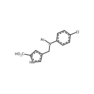 CC(=O)N(Cc1c[nH]c(C(=O)O)c1)c1ccc(Cl)cc1